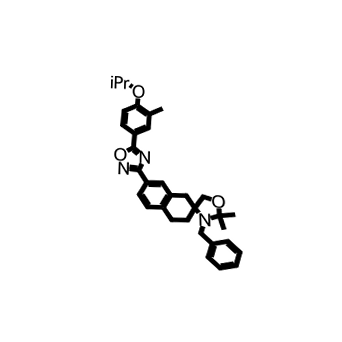 Cc1cc(-c2nc(-c3ccc4c(c3)CC3(CC4)COC(C)(C)N3Cc3ccccc3)no2)ccc1OC(C)C